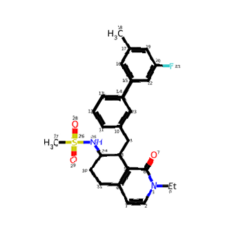 CCn1ccc2c(c1=O)C(Cc1cccc(-c3cc(C)cc(F)c3)c1)C(NS(C)(=O)=O)CC2